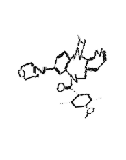 CO[C@@H]1C[C@H](C)[C@H](C(=O)N2Cc3cccnc3Nc3ccc(N4CCOCC4)cc32)C[C@@H]1C